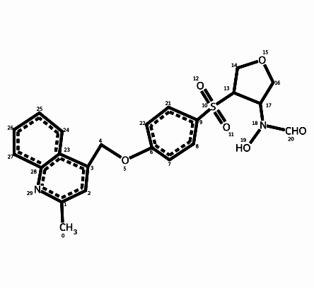 Cc1cc(COc2ccc(S(=O)(=O)C3COCC3N(O)C=O)cc2)c2ccccc2n1